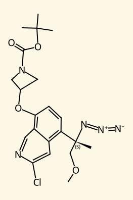 COC[C@@](C)(N=[N+]=[N-])c1ccc(OC2CN(C(=O)OC(C)(C)C)C2)c2cnc(Cl)cc12